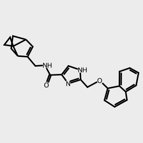 O=C(NCC1=CC2CCC1C21CC1)c1c[nH]c(COc2cccc3ccccc23)n1